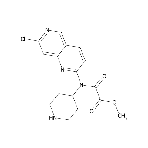 COC(=O)C(=O)N(c1ccc2cnc(Cl)cc2n1)C1CCNCC1